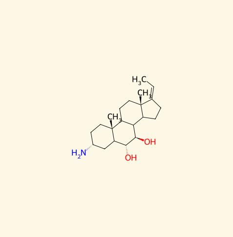 C/C=C1/CCC2C3C(CC[C@]12C)[C@@]1(C)CC[C@@H](N)CC1[C@@H](O)[C@@H]3O